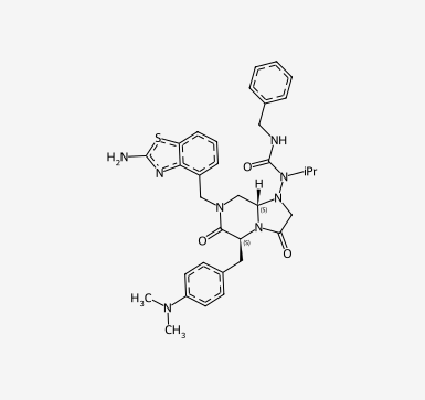 CC(C)N(C(=O)NCc1ccccc1)N1CC(=O)N2[C@@H](Cc3ccc(N(C)C)cc3)C(=O)N(Cc3cccc4sc(N)nc34)C[C@@H]21